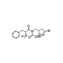 CC(C)COC(=O)N(CC1CC(Br)=NO1)C(=O)[C@@H](N)Cc1ccccc1